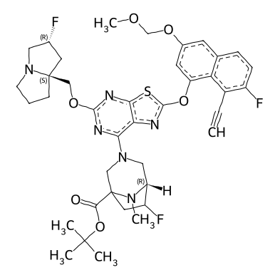 C#Cc1c(F)ccc2cc(OCOC)cc(Oc3nc4c(N5C[C@@H]6C(F)CC(C(=O)OC(C)(C)C)(C5)N6C)nc(OC[C@@]56CCCN5C[C@H](F)C6)nc4s3)c12